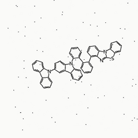 c1ccc(-c2cccc3c2nc2sc4ccccc4n23)c(-c2ccccc2-n2c3ccccc3c3cc(-n4c5ccccc5c5ccccc54)ccc32)c1